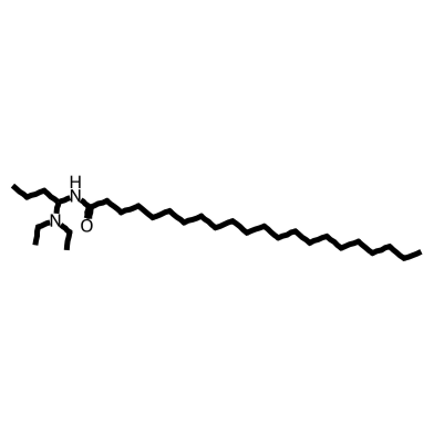 CCCCCCCCCCCCCCCCCCCCCC(=O)NC(CCC)N(CC)CC